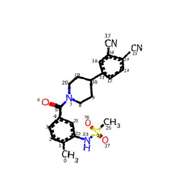 Cc1ccc(C(=O)N2CCC(c3ccc(C#N)c(C#N)c3)CC2)cc1NS(C)(=O)=O